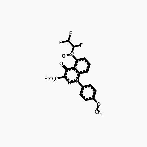 CCOC(=O)c1nn(-c2ccc(OC(F)(F)F)cc2)c2cccc([S+]([O-])C(F)C(F)F)c2c1=O